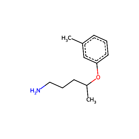 Cc1cccc(OC(C)CCCN)c1